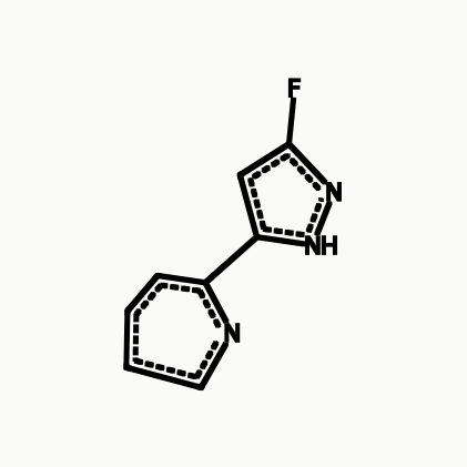 Fc1cc(-c2ccccn2)[nH]n1